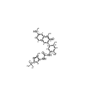 CNc1cc2c(cn1)cc(-c1cc(NC(=O)Nc3cc(C(C)(C)C)nn3C)c(F)cc1C)c(=O)n2C